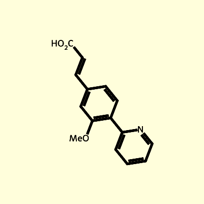 COc1cc(C=CC(=O)O)ccc1-c1ccccn1